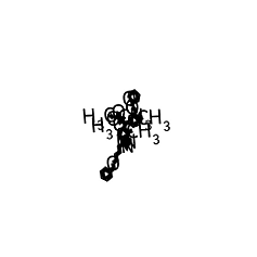 COC(=O)C(C)(C)C(c1ccc(C)c(COC2CCCCO2)c1)c1ccc2c(nnn2CCCCOCc2ccccc2)c1C